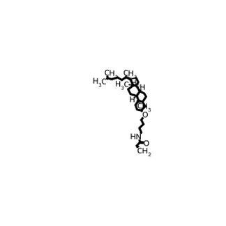 C=CC(=O)NCCCCOC1CC[C@@]2(C)C(CC[C@H]3[C@@H]4CC[C@H]([C@H](C)CCCC(C)C)[C@@]4(C)CC[C@@H]32)C1